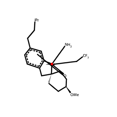 CO[C@H]1CC[C@]2(CC1)Cc1ccc(CCC(C)C)cc1C21N=C(N)N(CC(F)(F)F)C1=O